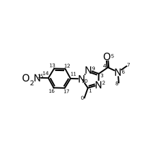 Cc1nc(C(=O)N(C)C)nn1-c1ccc([N+](=O)[O-])cc1